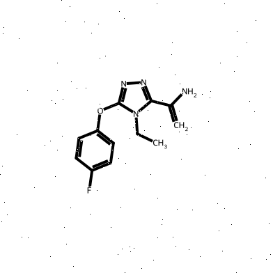 C=C(N)c1nnc(Oc2ccc(F)cc2)n1CC